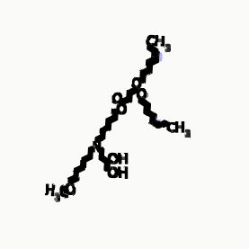 CC/C=C\CCCCOC(CCC(=O)OCCCCCCCN(CCCCCCCOC)CCC(O)CO)OCCCC/C=C\CC